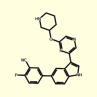 N#Cc1cc(-c2ccc3[nH]cc(-c4cncc(OC5CCCNC5)n4)c3c2)ccc1F